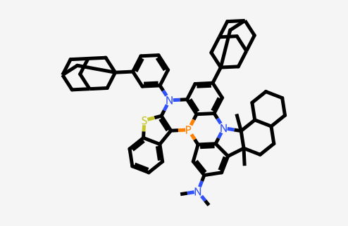 CN(C)c1cc2c3c(c1)C1(C)CCC4CCCCC4C1(C)N3c1cc(C34CC5CC(CC(C5)C3)C4)cc3c1P2c1c(sc2ccccc12)N3c1cccc(C23CC4CC(CC(C4)C2)C3)c1